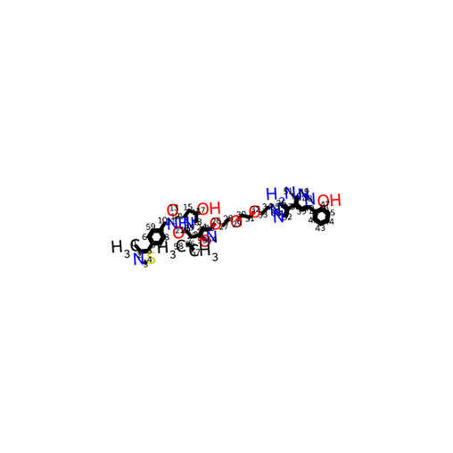 Cc1ncsc1-c1ccc(CNC(=O)[C@@H]2C[C@@H](O)CN2C(=O)[C@H](c2cc(OCCOCCOCCn3cc(-c4cc(-c5ccccc5O)nnc4N)cn3)no2)C(C)C)cc1